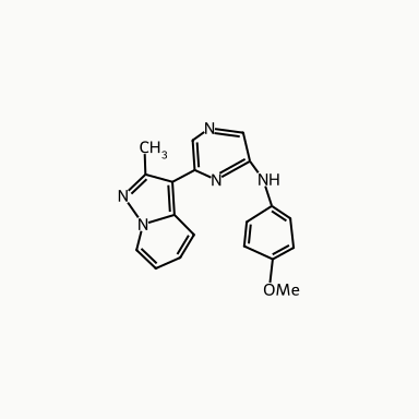 COc1ccc(Nc2cncc(-c3c(C)nn4ccccc34)n2)cc1